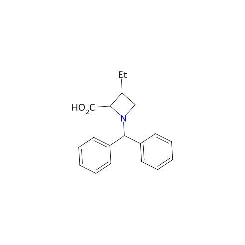 CCC1CN(C(c2ccccc2)c2ccccc2)C1C(=O)O